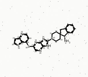 N[C@@H]1c2ccccc2CC12CCN(c1nc3nc(Sc4ccnc5ccsc45)cnc3[nH]1)CC2